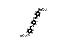 CCCCCCCCOc1ccc(C=Nc2ccc(N=Cc3ccc(OCCCCCCCC)cc3)cc2)cc1